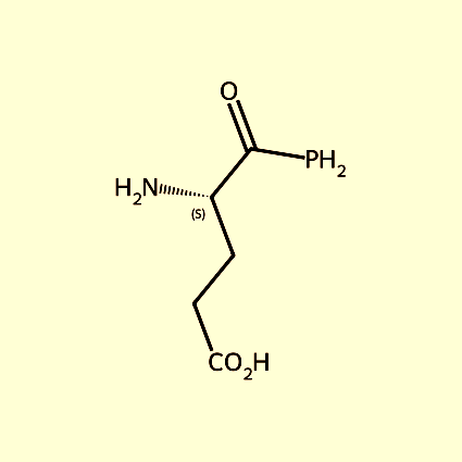 N[C@@H](CCC(=O)O)C(=O)P